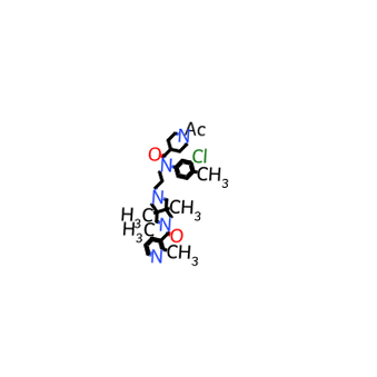 CC(=O)N1CCC(C(=O)N(CCCN2CC3(C)CN(C(=O)c4c(C)ccnc4C)CC3(C)C2)c2ccc(C)c(Cl)c2)CC1